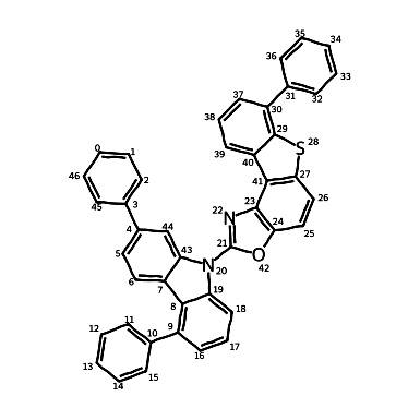 c1ccc(-c2ccc3c4c(-c5ccccc5)cccc4n(-c4nc5c(ccc6sc7c(-c8ccccc8)cccc7c65)o4)c3c2)cc1